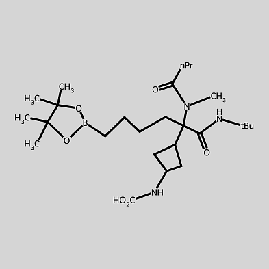 CCCC(=O)N(C)C(CCCCB1OC(C)(C)C(C)(C)O1)(C(=O)NC(C)(C)C)C1CC(NC(=O)O)C1